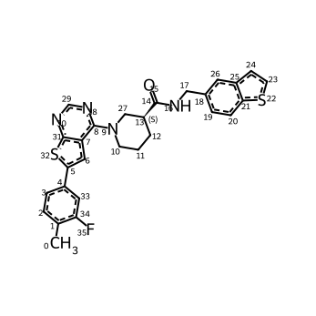 Cc1ccc(-c2cc3c(N4CCC[C@H](C(=O)NCc5ccc6sccc6c5)C4)ncnc3s2)cc1F